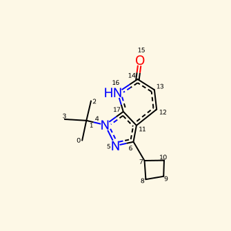 CC(C)(C)n1nc(C2CCC2)c2ccc(=O)[nH]c21